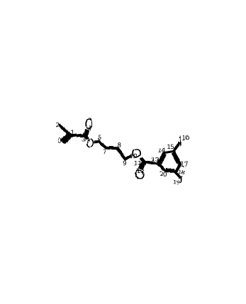 C=C(C)C(=O)OCCCCOC(=O)c1cc(I)cc(I)c1